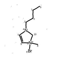 CCCCN1C=C[N+](C)(Br)C1